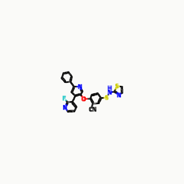 N#Cc1cc(SNc2nccs2)ccc1Oc1cnc(-c2ccccc2)cc1-c1cccnc1F